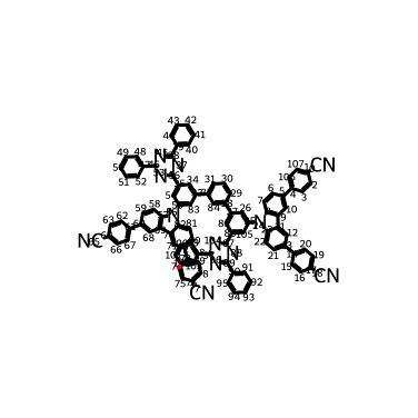 N#Cc1ccc(-c2ccc3c(c2)c2cc(-c4ccc(C#N)cc4)ccc2n3-c2cc(-c3cccc(-c4cc(-c5nc(-c6ccccc6)nc(-c6ccccc6)n5)cc(-n5c6ccc(-c7ccc(C#N)cc7)cc6c6cc(-c7ccc(C#N)cc7)ccc65)c4)c3)cc(-c3nc(-c4ccccc4)nc(-c4ccccc4)n3)c2)cc1